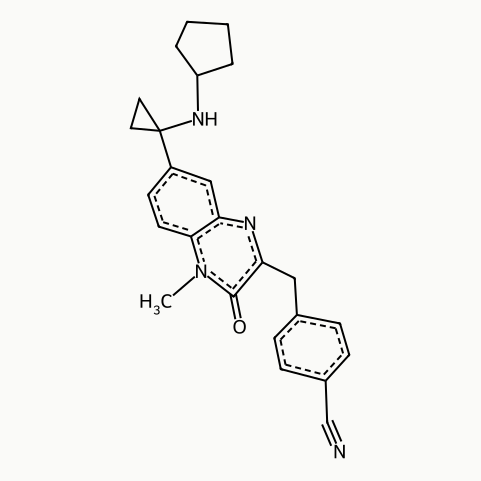 Cn1c(=O)c(Cc2ccc(C#N)cc2)nc2cc(C3(NC4CCCC4)CC3)ccc21